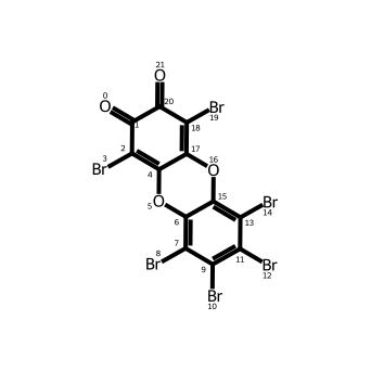 O=c1c(Br)c2oc3c(Br)c(Br)c(Br)c(Br)c3oc-2c(Br)c1=O